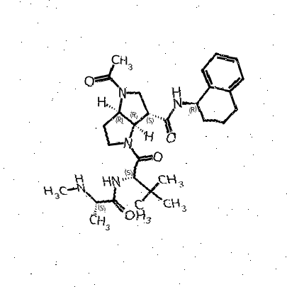 CN[C@@H](C)C(=O)N[C@H](C(=O)N1CC[C@@H]2[C@H]1[C@@H](C(=O)N[C@@H]1CCCc3ccccc31)CN2C(C)=O)C(C)(C)C